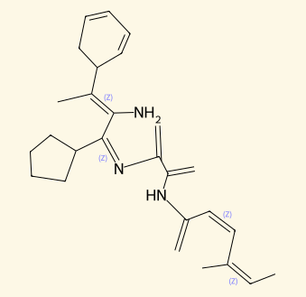 C=C(/C=C\C(C)=C/C)NC(=C)C(=C)/N=C(\C(N)=C(/C)C1C=CC=CC1)C1CCCC1